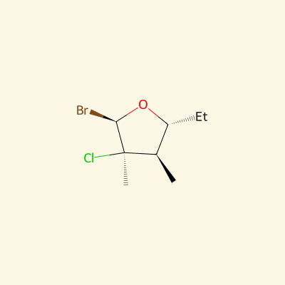 CC[C@H]1O[C@H](Br)[C@](C)(Cl)[C@@H]1C